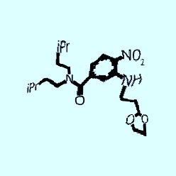 CC(C)CCN(CCC(C)C)C(=O)c1ccc([N+](=O)[O-])c(NCCC2OCCO2)c1